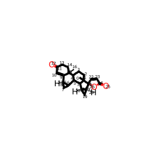 CC12CCC3C(C4C[C@H]4C4=CC(=O)CC[C@@]43C)C1[C@@H]1C[C@@H]1[C@@]21C=CC(=O)O1